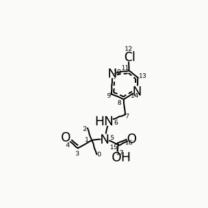 CC(C)(C=O)N(NCc1cnc(Cl)cn1)C(=O)O